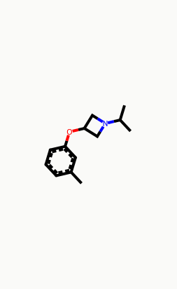 Cc1cccc(OC2CN(C(C)C)C2)c1